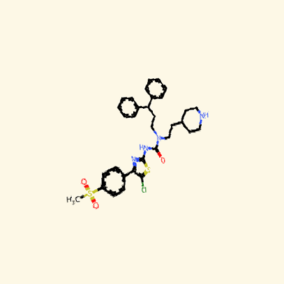 CS(=O)(=O)c1ccc(-c2nc(NC(=O)N(CCC3CCNCC3)CCC(c3ccccc3)c3ccccc3)sc2Cl)cc1